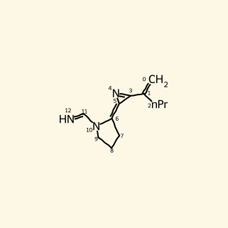 C=C(CCC)C1=NC/1=C1/CCCN1C=N